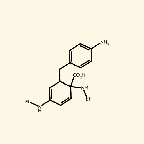 CCNC1=CC(Cc2ccc(N)cc2)C(NCC)(C(=O)O)C=C1